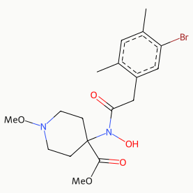 COC(=O)C1(N(O)C(=O)Cc2cc(Br)c(C)cc2C)CCN(OC)CC1